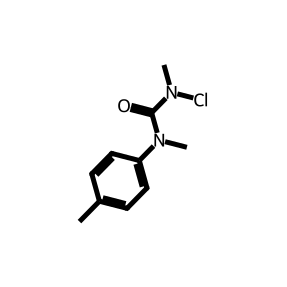 Cc1ccc(N(C)C(=O)N(C)Cl)cc1